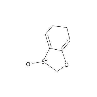 [O-][S+]1COC2=CCCC=C21